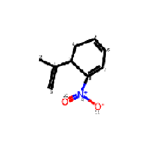 C=C(C)C1CC=CC=C1[N+](=O)[O-]